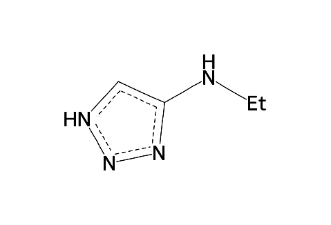 CCNc1c[nH]nn1